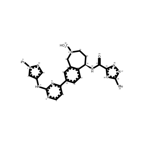 CC(C)n1cc(Nc2nccc(-c3ccc4c(c3)CN(C(=O)O)CC[C@H]4NC(=O)c3nnc(C(C)(C)C)o3)n2)cn1